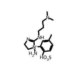 Cc1ccc(S(=O)(=O)O)c([N+]2(N)CCN=C2NCCCN(C)C)c1